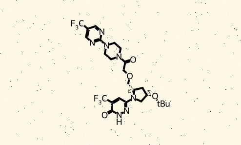 CC(C)(C)O[C@H]1C[C@@H](COCC(=O)N2CCN(c3ncc(C(F)(F)F)cn3)CC2)N(c2cc(C(F)(F)F)c(=O)[nH]n2)C1